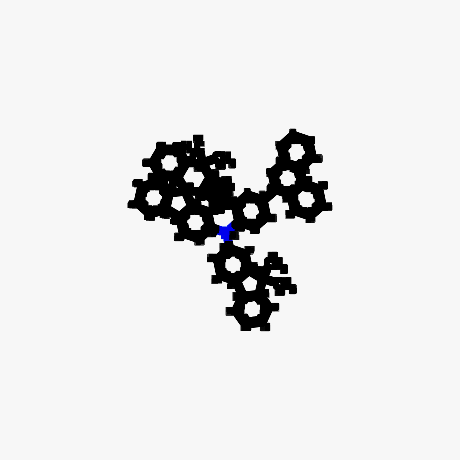 Cc1cc(-c2cc3ccccc3c3ccccc23)ccc1N(c1ccc2c(c1)C(C)(C)c1ccccc1-2)c1ccc2c(c1)C1(c3ccccc3-2)c2ccccc2C(C)(C)c2ccccc21